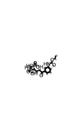 CCOC(=O)Nc1cccc(C(=O)CCC(P(=O)(O)O)P(=O)(O)O)c1